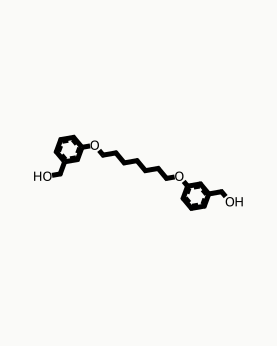 OCc1cccc(OCCCCCCCOc2cccc(CO)c2)c1